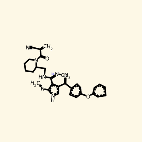 C=Nc1[nH]cc(C(=O)c2ccc(Oc3ccccc3)cc2)c1/C(=N\C)NCC1CCCCN1C(=O)C(=C)C#N